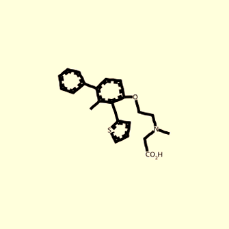 Cc1c(-c2ccccc2)ccc(OCCN(C)CC(=O)O)c1-c1cccs1